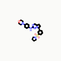 O=S(=O)(c1cccc(-c2ccc3cnc(Nc4ccc(N5CCOCC5)cc4)nn23)c1)N1CCCC1